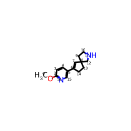 COc1ccc(C2=CC3(CCNC3)CC2)cn1